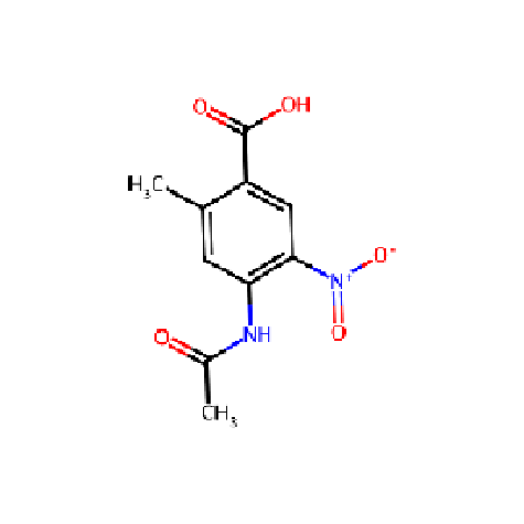 CC(=O)Nc1cc(C)c(C(=O)O)cc1[N+](=O)[O-]